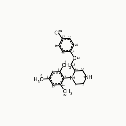 Cc1cc(C)c(N2CCNCC2COc2ccc(Cl)cc2)c(C)c1